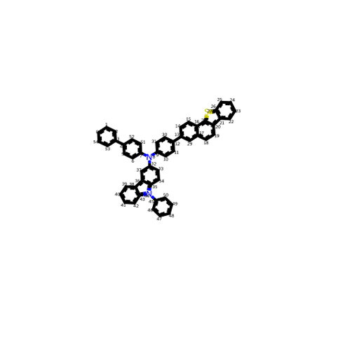 c1ccc(-c2ccc(N(c3ccc(-c4ccc5c(ccc6c7ccccc7sc56)c4)cc3)c3ccc4c(c3)c3ccccc3n4-c3ccccc3)cc2)cc1